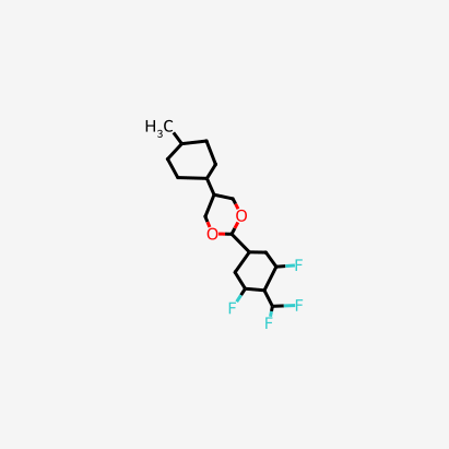 CC1CCC(C2COC(C3CC(F)C(C(F)F)C(F)C3)OC2)CC1